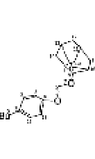 CCC(C)c1ccc(OCOC2C3CC4CC(C3)CC2C4)cc1